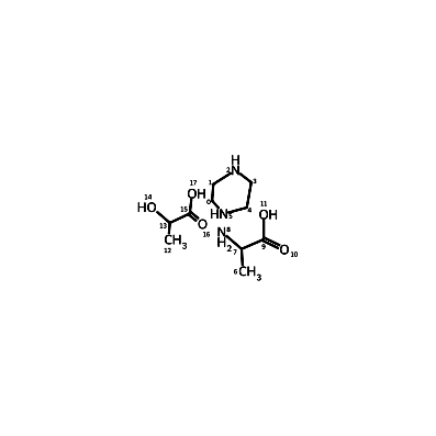 C1CNCCN1.CC(N)C(=O)O.CC(O)C(=O)O